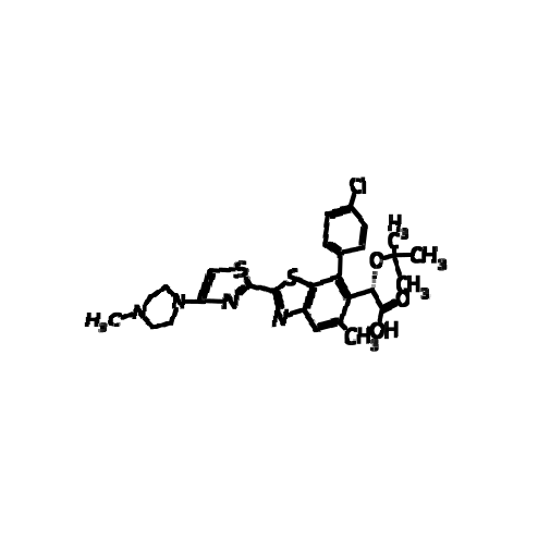 Cc1cc2nc(-c3nc(N4CCN(C)CC4)cs3)sc2c(-c2ccc(Cl)cc2)c1[C@H](OC(C)(C)C)C(=O)O